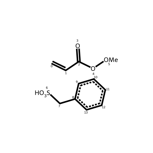 C=CC(=O)OOC.O=S(=O)(O)Cc1ccccc1